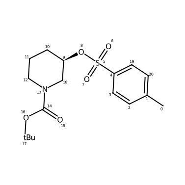 Cc1ccc(S(=O)(=O)O[C@@H]2CCCN(C(=O)OC(C)(C)C)C2)cc1